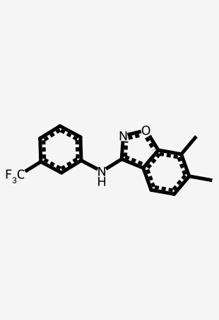 Cc1ccc2c(Nc3cccc(C(F)(F)F)c3)noc2c1C